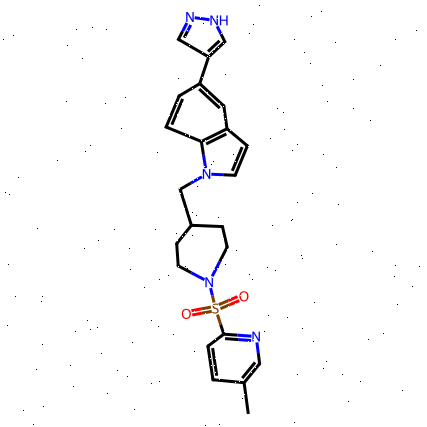 Cc1ccc(S(=O)(=O)N2CCC(Cn3ccc4cc(-c5cn[nH]c5)ccc43)CC2)nc1